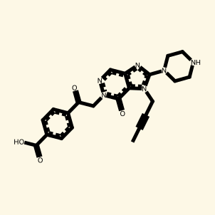 CC#CCn1c(N2CCNCC2)nc2cnn(CC(=O)c3ccc(C(=O)O)cc3)c(=O)c21